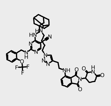 N#Cc1cnc(NCc2ccccc2OC(F)(F)F)nc1NCC12CC3CC(C1)C(NCCCCn1cc(CCNc4cccc5c4C(=O)N(C4CCC(=O)NC4=O)C5=O)nn1)C(C3)C2